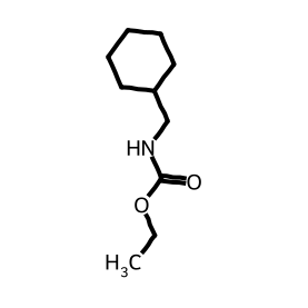 CCOC(=O)NCC1CCCCC1